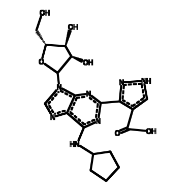 O=C(O)c1c[nH]nc1-c1nc(NC2CCCC2)c2ncn(C3O[C@H](CO)[C@@H](O)[C@H]3O)c2n1